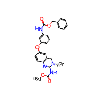 CCCN1Cc2cc(Oc3cccc(NC(=O)OCc4ccccc4)c3)ccc2N=C1NC(=O)OC(C)(C)C